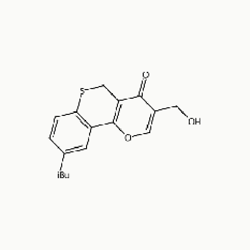 CCC(C)c1ccc2c(c1)-c1occ(CO)c(=O)c1CS2